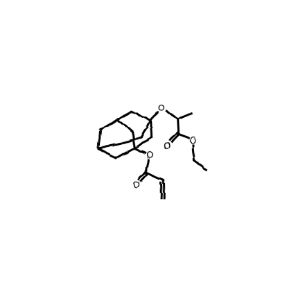 C=CC(=O)OC12CC3CC(C1)CC(OC(C)C(=O)OCC)(C3)C2